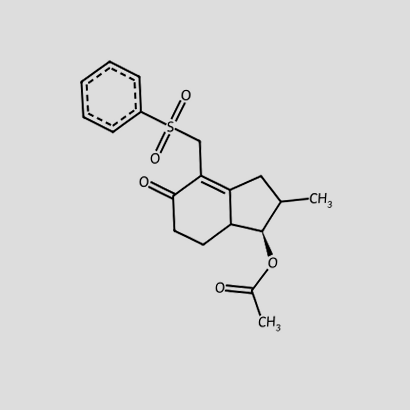 CC(=O)O[C@@H]1C(C)CC2=C(CS(=O)(=O)c3ccccc3)C(=O)CCC21